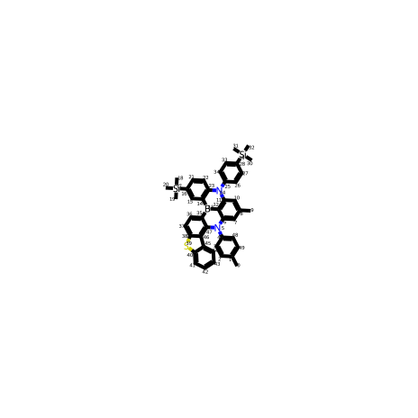 Cc1ccc(N2c3cc(C)cc4c3B(c3cc([Si](C)(C)C)ccc3N4c3ccc([Si](C)(C)C)cc3)c3ccc4sc5ccccc5c4c32)cc1